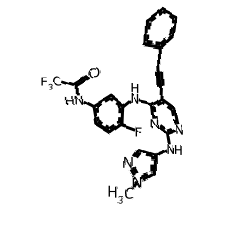 Cn1cc(Nc2ncc(C#Cc3ccccc3)c(Nc3cc(NC(=O)C(F)(F)F)ccc3F)n2)cn1